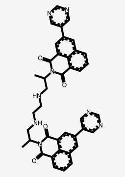 CC(CNCCNCC(C)N1C(=O)c2cccc3cc(-c4cncnc4)cc(c23)C1=O)N1C(=O)c2cccc3cc(-c4cncnc4)cc(c23)C1=O